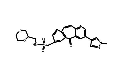 Cn1cc(-c2cnc3ccc4ccc(CS(=O)(=O)NCC5COCCO5)cc4c(=O)c3c2)cn1